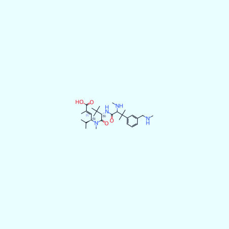 CNCc1cccc(C(C)(C)C(NC)C(=O)N[C@H](C(=O)N(C)[C@H](/C=C(\C)C(=O)O)C(C)C)C(C)(C)C)c1